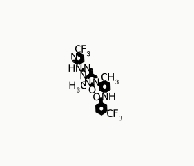 Cc1ccc(NC(=O)c2cccc(C(F)(F)F)c2)cc1N1Cc2cnc(Nc3ccc(C(F)(F)F)nc3)nc2N(C)C1=O